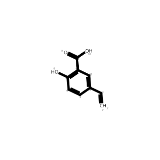 C=Cc1ccc(O)c(C(=O)O)c1